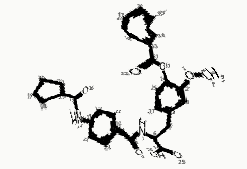 COc1cc(CC(NC(=O)c2ccc(NC(=O)C3CCCC3)cc2)C(=O)O)ccc1OC(=O)c1ccccc1